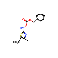 Cc1nc(NOC(=O)OCc2ccccc2)sc1C(=O)O